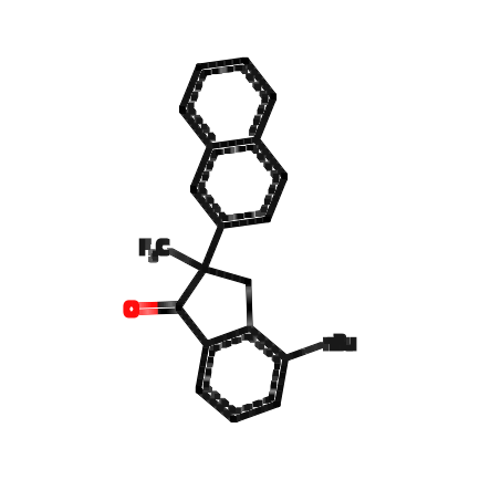 CCCCc1cccc2c1CC(c1ccc3ccccc3c1)(C(F)(F)F)C2=O